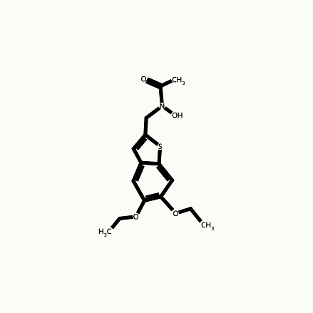 CCOc1cc2cc(CN(O)C(C)=O)sc2cc1OCC